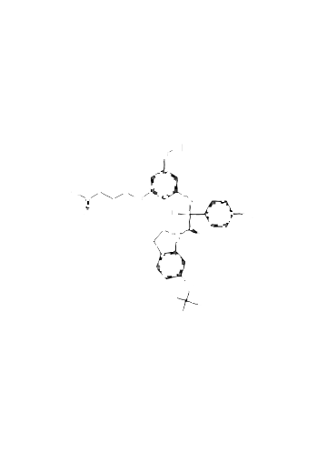 [2H][C@](Nc1cc(OC)cc(OCCCC(=O)O)c1)(C(=O)N1CCc2ccc(OC(F)(F)F)cc21)c1ccc(Cl)cc1